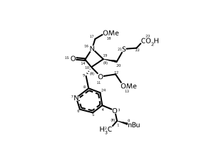 CCCC[C@@H](C)Oc1ccnc(C[C@]2(OCOC)C(=O)N(COC)[C@H]2CSCC(=O)O)c1